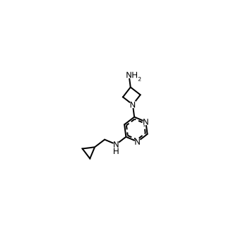 NC1CN(c2cc(NCC3CC3)ncn2)C1